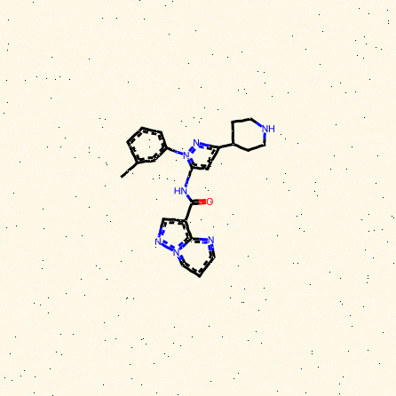 Cc1cccc(-n2nc(C3CCNCC3)cc2NC(=O)c2cnn3cccnc23)c1